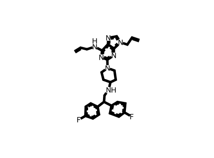 C=CCNc1nc(N2CCC(NCC(c3ccc(F)cc3)c3ccc(F)cc3)CC2)nc2c1ncn2CC=C